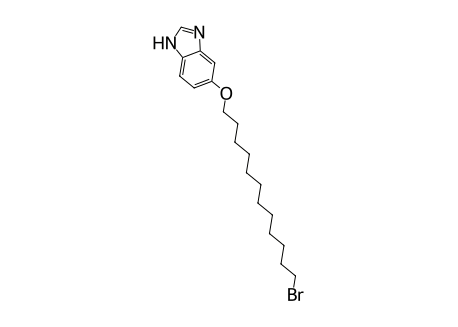 BrCCCCCCCCCCCCOc1ccc2[nH]cnc2c1